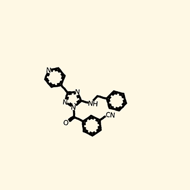 N#Cc1cccc(C(=O)n2nc(-c3ccncc3)nc2NCc2ccccc2)c1